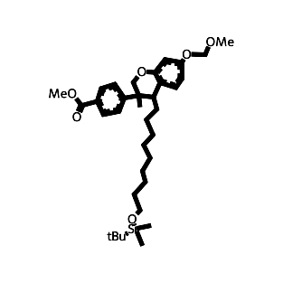 COCOc1ccc2c(c1)OCC(C)(c1ccc(C(=O)OC)cc1)C2CCCCCCCCCO[Si](C)(C)C(C)(C)C